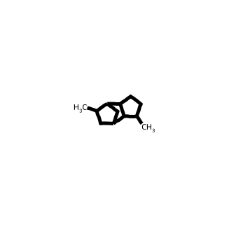 CC1CC2CC1C1CCC(C)C21